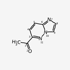 CC(=O)c1ccc2nccn2n1